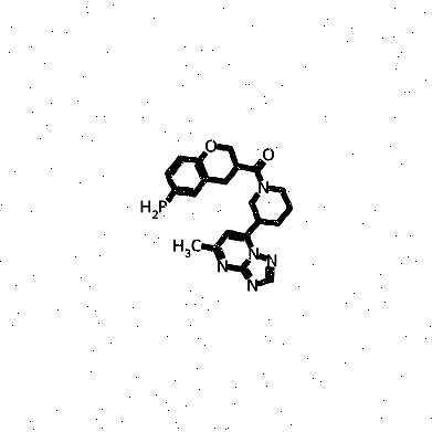 Cc1cc(C2CCCN(C(=O)C3COc4ccc(P)cc4C3)C2)n2ncnc2n1